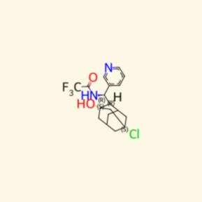 O=C(N[C@@H](c1cccnc1)[C@H]1C2CC3C[C@](Cl)(C2)C[C@@]1(O)C3)C(F)(F)F